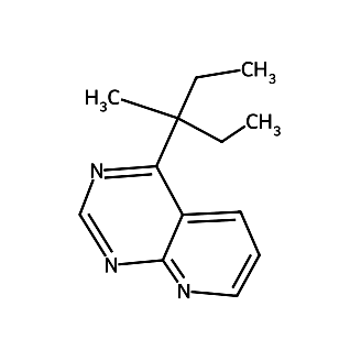 CCC(C)(CC)c1ncnc2ncccc12